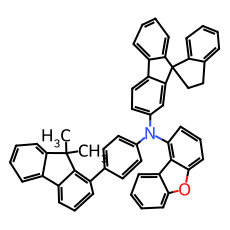 CC1(C)c2ccccc2-c2cccc(-c3ccc(N(c4ccc5c(c4)C4(CCc6ccccc64)c4ccccc4-5)c4cccc5oc6ccccc6c45)cc3)c21